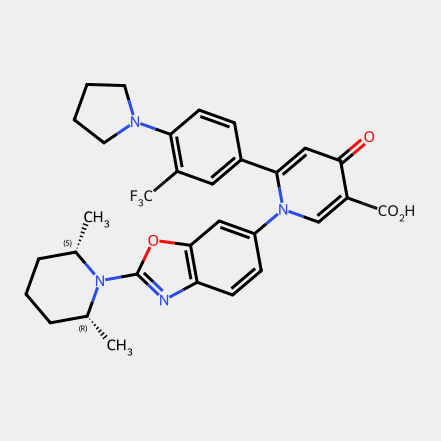 C[C@@H]1CCC[C@H](C)N1c1nc2ccc(-n3cc(C(=O)O)c(=O)cc3-c3ccc(N4CCCC4)c(C(F)(F)F)c3)cc2o1